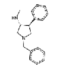 CN[C@H]1CN(Cc2ccccc2)C[C@@H]1c1ccccc1